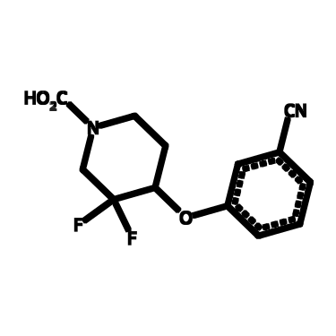 N#Cc1cccc(OC2CCN(C(=O)O)CC2(F)F)c1